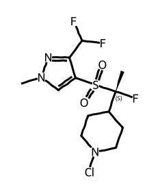 Cn1cc(S(=O)(=O)[C@](C)(F)C2CCN(Cl)CC2)c(C(F)F)n1